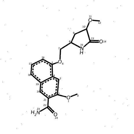 COc1cc2c(OCC3CC(OC)C(=O)N3)cccc2cc1C(N)=O